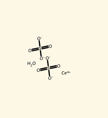 O.O=S(=O)([O-])[O-].O=S(=O)([O-])[O-].[Ce+4]